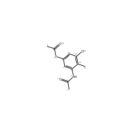 CC(=O)Nc1cc(OC(C)=O)cc(Cl)c1C